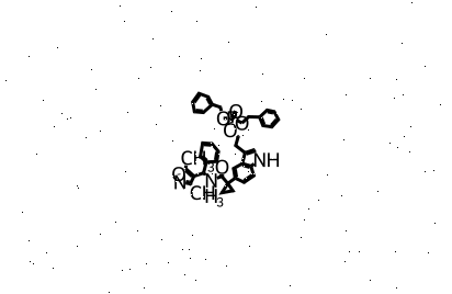 Cc1noc(C)c1C(NC(=O)C1(c2ccc3[nH]cc(CCOP(=O)(OCc4ccccc4)OCc4ccccc4)c3c2)CC1)c1ccccc1